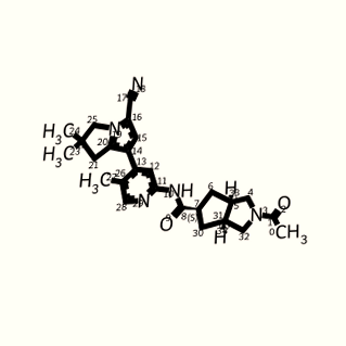 CC(=O)N1C[C@H]2C[C@H](C(=O)Nc3cc(-c4cc(C#N)n5c4CC(C)(C)C5)c(C)cn3)C[C@H]2C1